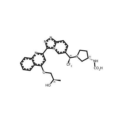 C[C@@H](O)COc1cc(-c2nnc3ccc([C@@H](N4CC[C@H](NC(=O)O)C4)C(F)(F)F)cn23)nc2ccccc12